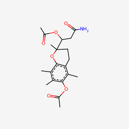 CC(=O)Oc1c(C)c(C)c2c(c1C)CCC(C)(C(CC(N)=O)OC(C)=O)O2